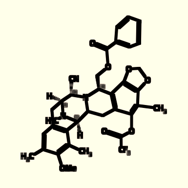 COc1c(C)cc2c(c1C)[C@@H]1C3Cc4c(OC(=O)C(F)(F)F)c(C)c5c(c4[C@H](COC(=O)c4ccccc4)N3[C@@H](C#N)[C@H](C2)N1C)OCO5